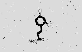 COC(=O)C=Cc1ccc(Cl)cc1C(F)(F)F